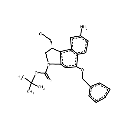 CC(C)(C)OC(=O)N1C[C@H](CCl)c2c1cc(OCc1ccccc1)c1ccc(N)cc21